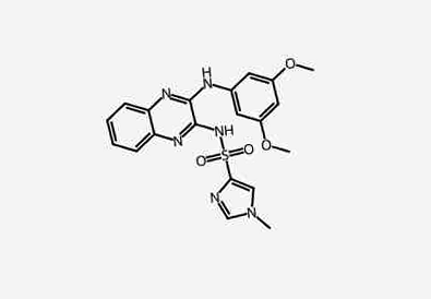 COc1cc(Nc2nc3ccccc3nc2NS(=O)(=O)c2cn(C)cn2)cc(OC)c1